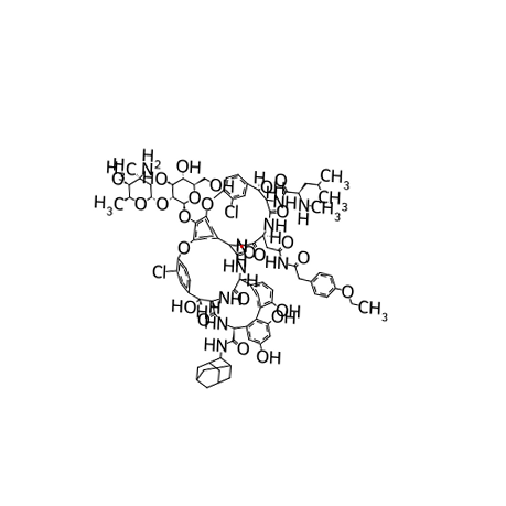 CCOc1ccc(CC(=O)NC(=O)C[C@@H]2NC(=O)[C@H](NC(=O)[C@@H](CC(C)C)NC)[C@H](O)c3ccc(c(Cl)c3)Oc3cc4cc(c3O[C@@H]3O[C@H](CO)[C@@H](O)[C@H](O)[C@H]3O[C@H]3C[C@](C)(N)[C@H](O)[C@H](C)O3)Oc3ccc(cc3Cl)[C@@H](O)[C@@H]3NC(=O)[C@H](NC(=O)[C@@H]4NC2=O)c2ccc(O)c(c2)-c2c(O)cc(O)cc2[C@@H](C(=O)NC2C4CC5CC(C4)CC2C5)NC3=O)cc1